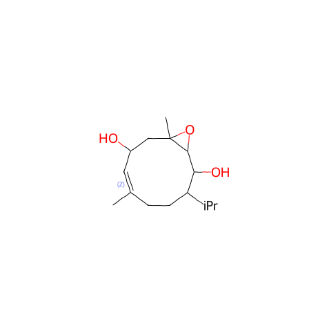 C/C1=C/C(O)CC2(C)OC2C(O)C(C(C)C)CC1